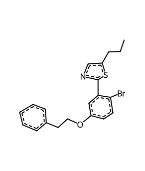 CCCc1cnc(-c2cc(OCCc3ccccc3)ccc2Br)s1